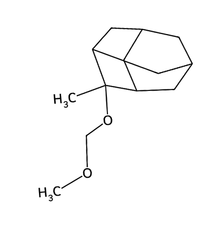 COCOC1(C)C2CC3CC(C2)CC1C3